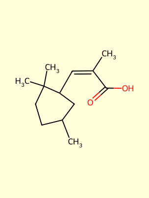 CC(=CC1CC(C)CCC1(C)C)C(=O)O